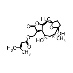 CC(C)=CC(=O)OCC1=C2C(=CC3(C)CCC(O)(O3)[C@H](C)C[C@@H]2O)OC1=O